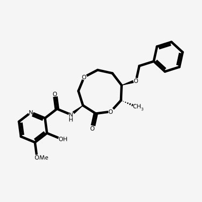 COc1ccnc(C(=O)N[C@H]2COCC[C@@H](OCc3ccccc3)[C@H](C)OC2=O)c1O